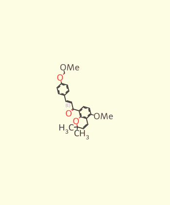 COCOc1ccc(/C=C/C(=O)c2ccc(OC)c3c2OC(C)(C)C=C3)cc1